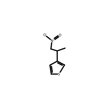 CC(C[N+](=O)[O-])c1ccsc1